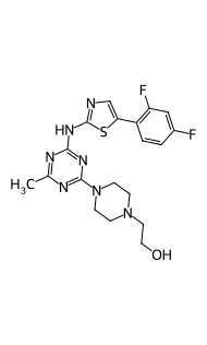 Cc1nc(Nc2ncc(-c3ccc(F)cc3F)s2)nc(N2CCN(CCO)CC2)n1